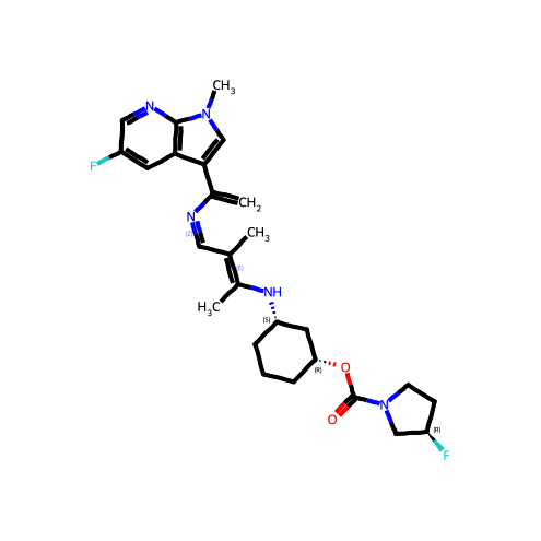 C=C(/N=C\C(C)=C(/C)N[C@H]1CCC[C@@H](OC(=O)N2CC[C@@H](F)C2)C1)c1cn(C)c2ncc(F)cc12